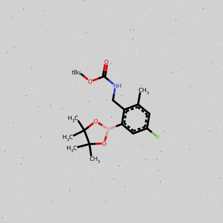 Cc1cc(F)cc(B2OC(C)(C)C(C)(C)O2)c1CNC(=O)OC(C)(C)C